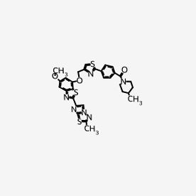 COc1cc(OCc2csc(-c3ccc(C(=O)N4CCC(C)CC4)cc3)n2)c2sc(-c3cn4nc(C)sc4n3)nc2c1